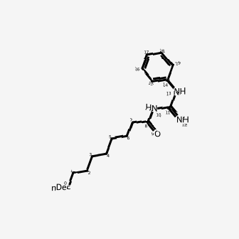 CCCCCCCCCCCCCCCCCC(=O)NC(=N)Nc1ccccc1